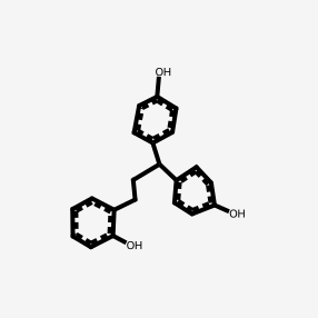 Oc1ccc(C(CCc2ccccc2O)c2ccc(O)cc2)cc1